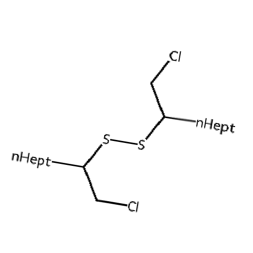 CCCCCCCC(CCl)SSC(CCl)CCCCCCC